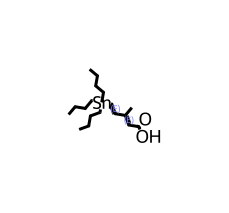 CCC[CH2][Sn](/[CH]=C/C(C)=C/C(=O)O)([CH2]CCC)[CH2]CCC